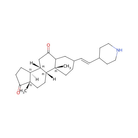 C[C@]12CCC(C=CC3CCNCC3)CC1C(=O)C[C@@H]1[C@H]2CC[C@]2(C)C(=O)CC[C@@H]12